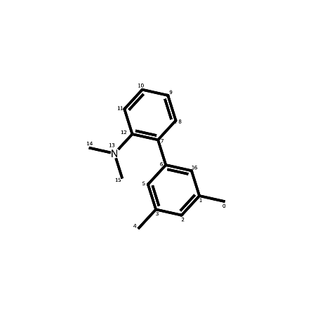 Cc1cc(C)cc(-c2[c]cccc2N(C)C)c1